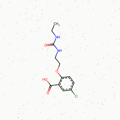 CCNC(=O)NCCOc1ccc(Cl)cc1C(=O)O